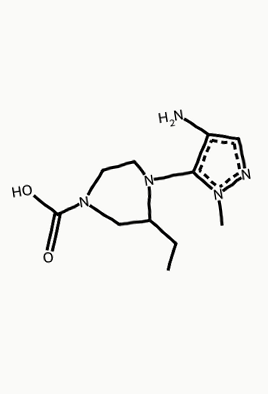 CCC1CN(C(=O)O)CCN1c1c(N)cnn1C